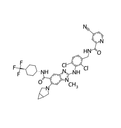 Cn1c(Nc2c(Cl)ccc(CNC(=O)c3cc(C#N)ccn3)c2Cl)nc2cc(C(=O)N[C@H]3CC[C@H](C(F)(F)F)CC3)c(N3CC4CC4C3)cc21